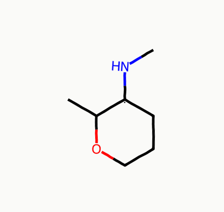 CN[C]1CCCOC1C